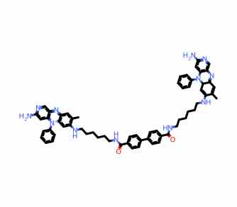 CC1=CC2=Nc3cnc(N)cc3N(c3ccccc3)C2C=C1NCCCCCCNC(=O)c1ccc(-c2ccc(C(=O)NCCCCCCNc3cc4c(cc3C)nc3cnc(N)cc3[n+]4-c3ccccc3)cc2)cc1